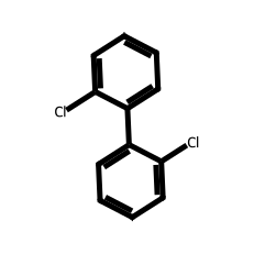 Clc1c[c]ccc1-c1cc[c]cc1Cl